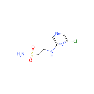 NS(=O)(=O)CCNc1cncc(Cl)n1